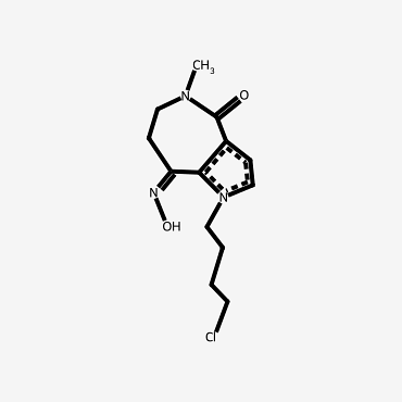 CN1CC/C(=N/O)c2c(ccn2CCCCCl)C1=O